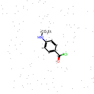 CCOC(=O)Nc1ccc(C(=O)Cl)cc1